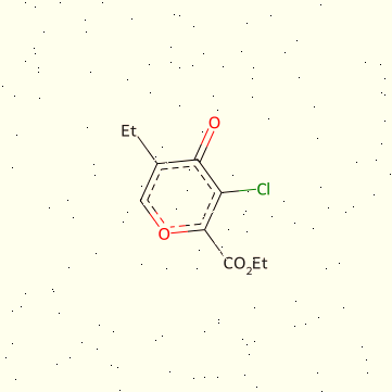 CCOC(=O)c1occ(CC)c(=O)c1Cl